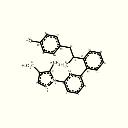 CCOC(=O)c1cnn(-c2cccc(-c3ccccc3C(C)Cc3ccc(O)cc3)n2)c1C(F)(F)F